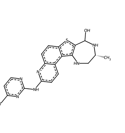 C[C@@H]1CNc2c(sc3ccc4nc(Nc5nccc(Cl)n5)ccc4c23)C(O)N1